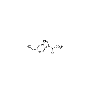 O=C(O)C(=O)c1c[nH]c2cc(CO)ccc12